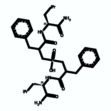 CC(C)C[C@H](NC(=O)C(Cc1ccccc1)CP(=O)(O)CC(Cc1ccccc1)C(=O)N[C@@H](CC(C)C)C(N)=O)C(N)=O